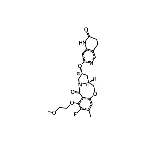 COCCOc1c(F)c(C)cc2c1C(=O)N1C[C@@H](Oc3cc4c(cn3)CCC(=O)N4)C[C@@H]1CO2